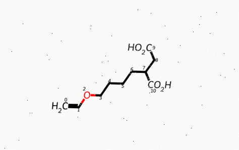 C=COCCCCC(CC(=O)O)C(=O)O